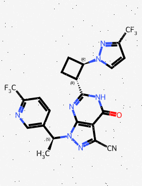 C[C@@H](c1ccc(C(F)(F)F)nc1)n1nc(C#N)c2c(=O)[nH]c([C@@H]3CC[C@H]3n3ccc(C(F)(F)F)n3)nc21